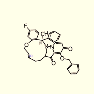 C[C@@]1(c2ccccc2)c2ccc(F)cc2OC/C=C/CCC2CN1n1ccc(=O)c(OCc3ccccc3)c1C2=O